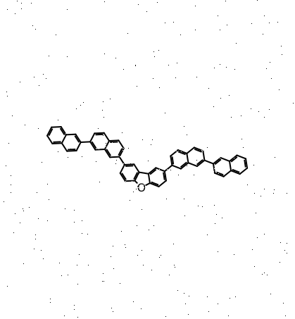 c1ccc2cc(-c3ccc4ccc(-c5ccc6oc7ccc(-c8ccc9ccc(-c%10ccc%11ccccc%11c%10)cc9c8)cc7c6c5)cc4c3)ccc2c1